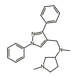 CN1CCC(N(C)Cc2cn(-c3ccccc3)nc2-c2ccccc2)C1